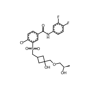 C[C@@H](O)COCC1(O)CC(CS(=O)(=O)c2cc(C(=O)Nc3ccc(F)c(F)c3)ccc2Cl)C1